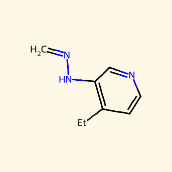 C=NNc1cnccc1CC